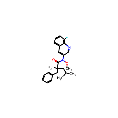 CON(C(=O)C(C)(Cc1ccccc1)CC(C)C)c1cnc2c(F)cccc2c1